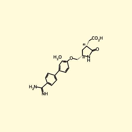 N=C(N)c1ccc(-c2ccc(OC[C@@H]3C[C@H](CC(=O)O)C(=O)N3)cc2)cc1.O